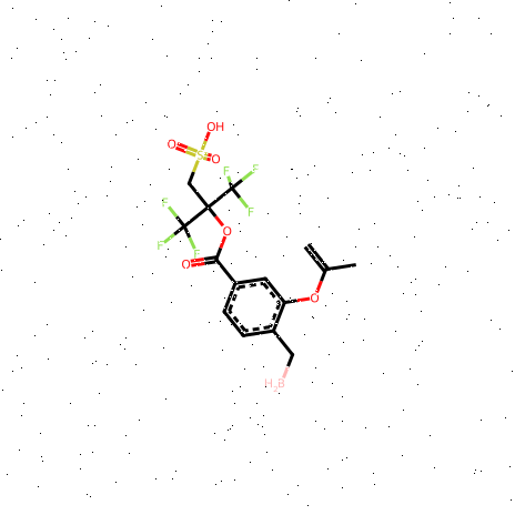 BCc1ccc(C(=O)OC(CS(=O)(=O)O)(C(F)(F)F)C(F)(F)F)cc1OC(=C)C